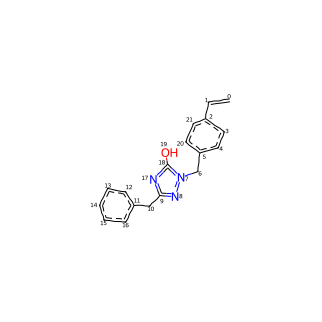 C=Cc1ccc(Cn2nc(Cc3ccccc3)nc2O)cc1